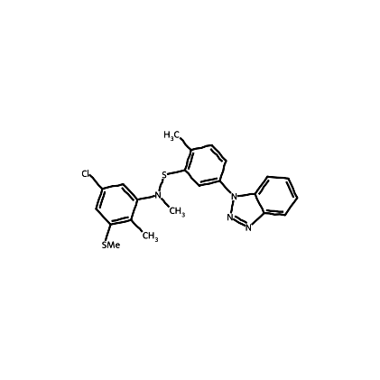 CSc1cc(Cl)cc(N(C)Sc2cc(-n3nnc4ccccc43)ccc2C)c1C